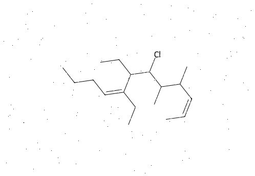 C/C=C\C(C)C(C)C(Cl)C(CC)/C(=C\CCC)CC